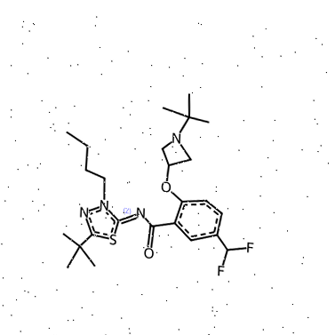 CCCCn1nc(C(C)(C)C)s/c1=N\C(=O)c1cc(C(F)F)ccc1OC1CN(C(C)(C)C)C1